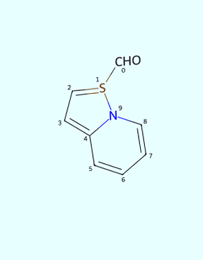 O=CS1=CC=C2C=CC=CN21